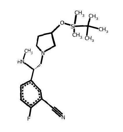 CN[C@H](CN1CCC(O[Si](C)(C)C(C)(C)C)C1)c1ccc(F)c(C#N)c1